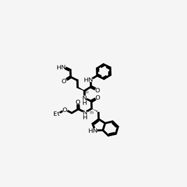 CCOCC(=O)N[C@@H](CC1=CNC2C=CC=CC12)C(=O)N[C@@H](CCC(=O)C=N)C(=O)Nc1ccccc1